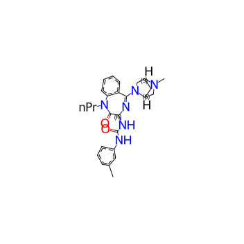 CCCN1C(=O)[C@H](NC(=O)Nc2cccc(C)c2)N=C(N2C[C@@H]3C[C@H]2CN3C)c2ccccc21